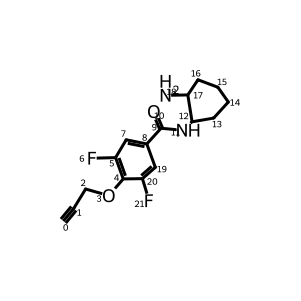 C#CCOc1c(F)cc(C(=O)NC2CCCCC2N)cc1F